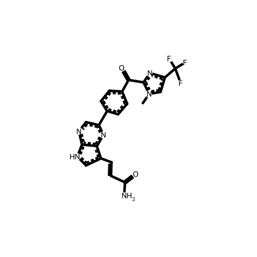 Cn1cc(C(F)(F)F)nc1C(=O)c1ccc(-c2cnc3[nH]cc(C=CC(N)=O)c3n2)cc1